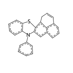 C1=Cc2cccc3cc4c(c(c23)C1)Sc1ccccc1N4c1ccccc1